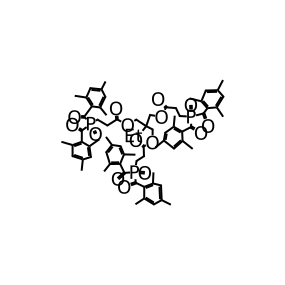 CCC(COC(=O)CCP(=O)(C(=O)c1c(C)cc(C)cc1C)C(=O)c1c(C)cc(C)cc1C)(COC(=O)CCP(=O)(C(=O)c1c(C)cc(C)cc1C)C(=O)c1c(C)cc(C)cc1C)COC(=O)CCP(=O)(C(=O)c1c(C)cc(C)cc1C)C(=O)c1c(C)cc(C)cc1C